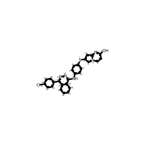 Oc1ccn2cc(Sc3ccc(Nc4nnc(-c5ccc(Cl)cc5)c5ccccc45)cc3)cc2n1